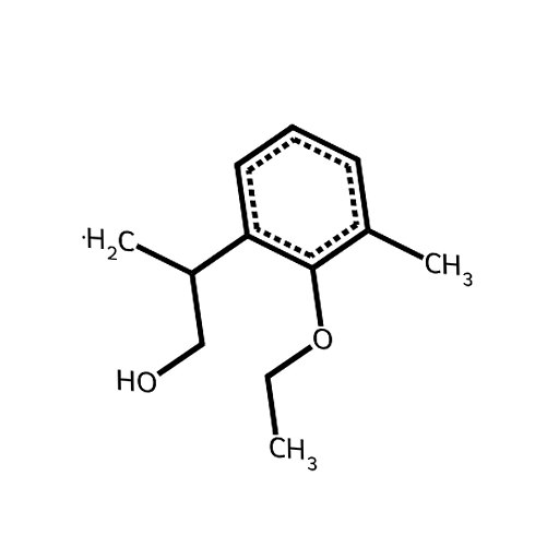 [CH2]C(CO)c1cccc(C)c1OCC